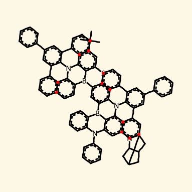 CC(C)(C)c1cc2c3c(c1)N(c1c(-c4ccccc4)cc(-c4ccccc4)cc1-c1ccccc1)c1ccccc1B3c1cc3c(cc1S2)N(c1c(-c2ccccc2)cc(-c2ccccc2)cc1-c1ccccc1)c1cc(N2C4CC5CC4CC52)cc2c1B3c1ccccc1N2c1ccccc1